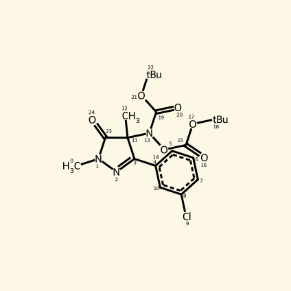 CN1N=C(c2cccc(Cl)c2)C(C)(N(OC(=O)OC(C)(C)C)C(=O)OC(C)(C)C)C1=O